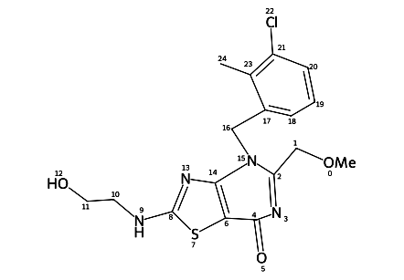 COCc1nc(=O)c2sc(NCCO)nc2n1Cc1cccc(Cl)c1C